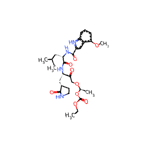 CCOC(=O)O[C@H](C)OCC(=O)[C@H](C[C@@H]1CCNC1=O)NC(=O)[C@H](CC(C)C)NC(=O)c1cc2c(OC)cccc2[nH]1